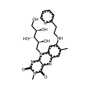 Cc1cc2nc3c(=O)n(C)c(=O)nc-3n(C[C@H](O)[C@H](O)[C@H](O)CO)c2cc1NCCc1ccccn1